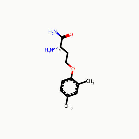 Cc1ccc(OCC[C@H](N)C(N)=O)c(C)c1